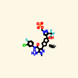 Cn1nc(C2CC3CC(O)(c4cn(COP(=O)([O-])[O-])nc4C(F)(F)F)CC3C2)c(C(=O)Nc2ccc(F)c(Cl)c2)c1N.[Na+].[Na+]